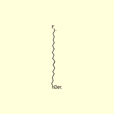 CCCCCCCCCCCCCCCCCCCCCCCCCCC[CH]F